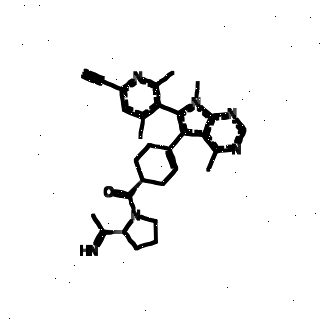 C#Cc1cc(C)c(-c2c(C3=CC[C@@H](C(=O)N4CCC[C@H]4C(C)=N)CC3)c3c(C)ncnc3n2C)c(C)n1